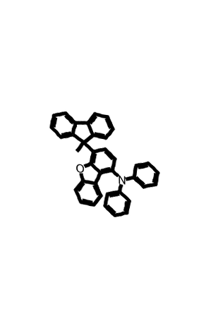 CC1(c2ccc(N(c3ccccc3)c3ccccc3)c3c2oc2ccccc23)c2ccccc2-c2ccccc21